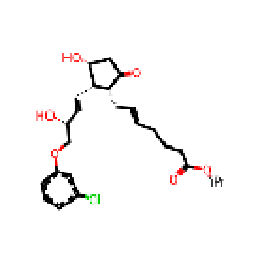 CC(C)OC(=O)CCCC=CC[C@H]1C(=O)C[C@@H](O)[C@H]1C=C[C@@H](O)COc1cccc(Cl)c1